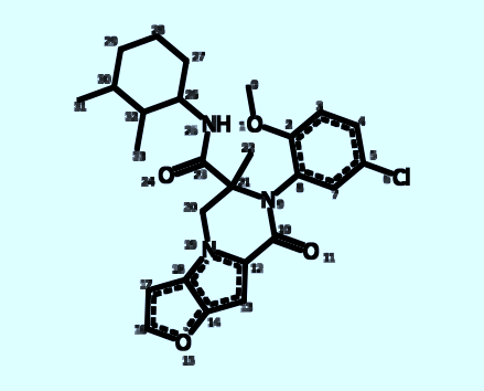 COc1ccc(Cl)cc1N1C(=O)c2cc3occc3n2CC1(C)C(=O)NC1CCCC(C)C1C